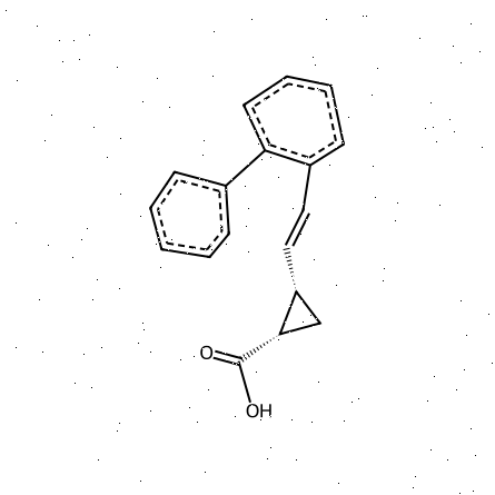 O=C(O)[C@H]1C[C@H]1C=Cc1ccccc1-c1ccccc1